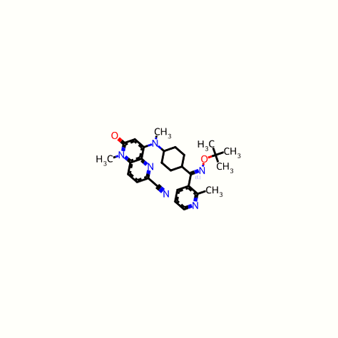 Cc1ncccc1/C(=N/OC(C)(C)C)C1CCC(N(C)c2cc(=O)n(C)c3ccc(C#N)nc23)CC1